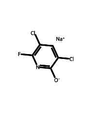 [Na+].[O-]c1nc(F)c(Cl)cc1Cl